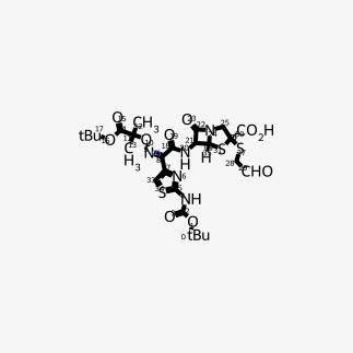 CC(C)(C)OC(=O)Nc1nc(/C(=N/OC(C)(C)C(=O)OC(C)(C)C)C(=O)NC2C(=O)N3C[C@](SCC=O)(C(=O)O)S[C@H]23)cs1